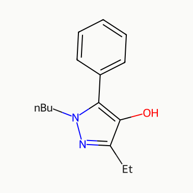 CCCCn1nc(CC)c(O)c1-c1ccccc1